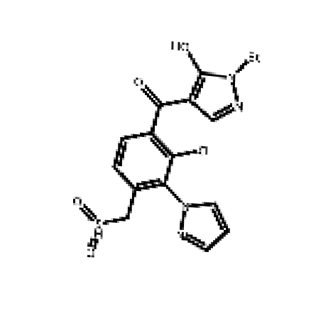 CCn1ncc(C(=O)c2ccc(C[SH](=O)=O)c(-n3cccn3)c2Cl)c1O